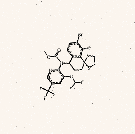 COC(=O)N(c1ncc(C(F)(F)F)cc1OC(F)F)C1CCC2(SCCS2)c2c1ccc(Br)c2F